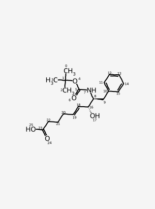 CC(C)(C)OC(=O)N[C@@H](Cc1ccccc1)[C@H](O)/C=C/CCCC(=O)O